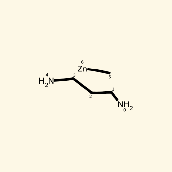 NCCCN.[CH3][Zn]